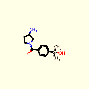 C[Si](C)(O)c1ccc(C(=O)N2CCC(N)C2)cc1